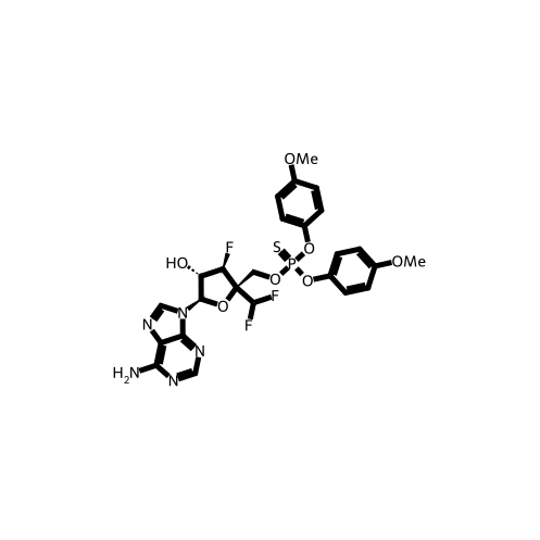 COc1ccc(OP(=S)(OC[C@@]2(C(F)F)O[C@@H](n3cnc4c(N)ncnc43)[C@H](O)[C@H]2F)Oc2ccc(OC)cc2)cc1